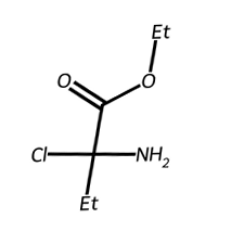 CCOC(=O)C(N)(Cl)CC